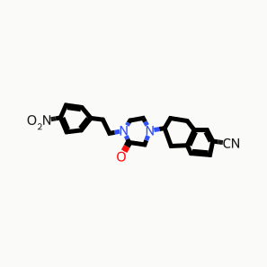 N#Cc1ccc2c(c1)CCC(N1CCN(CCc3ccc([N+](=O)[O-])cc3)C(=O)C1)C2